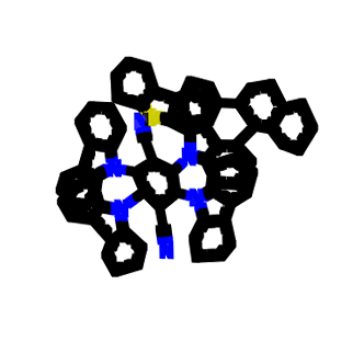 N#Cc1c(-n2c3ccccc3c3ccccc32)c(-n2c3ccccc3c3ccccc32)c(C#N)c(-n2c3cccc(-c4c(-c5ccccc5)ccc5ccccc45)c3c3ccc4c5ccccc5sc4c32)c1-n1c2ccccc2c2ccccc21